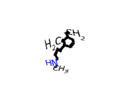 C=CC1CC=C/C(=C/C=C\CNC)C1=C